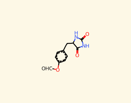 O=COc1ccc(CC2NC(=O)NC2=O)cc1